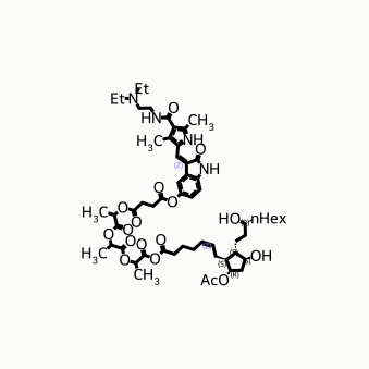 CCCCCC[C@@H](O)CC[C@H]1[C@H](C/C=C\CCCC(=O)OC(=O)C(C)OC(=O)C(C)OC(=O)C(C)OC(=O)CCC(=O)Oc2ccc3c(c2)/C(=C/c2[nH]c(C)c(C(=O)NCCN(CC)CC)c2C)C(=O)N3)[C@H](OC(C)=O)C[C@@H]1O